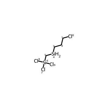 ClCCC[SiH2]C[Si](Cl)(Cl)Cl